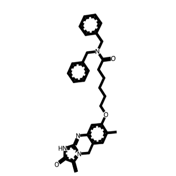 C=c1c(=O)[nH]c2n1Cc1cc(C)c(OCCCCCC(=O)N(Cc3ccccc3)Cc3ccccc3)cc1N=2